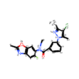 Cc1nc2cc(F)c(N(C)C(=O)c3cccc(-n4nc(C(F)(F)F)c(Cl)c4C)c3)cc2o1